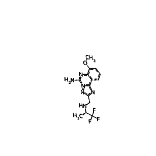 COc1cccc2c1nc(N)n1nc(CN[C@H](C)C(F)(F)F)nc21